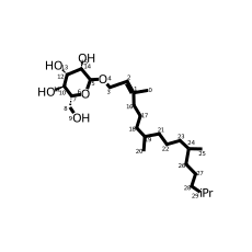 CC(=CCOC1O[C@H](CO)[C@@H](O)[C@H](O)[C@@H]1O)CCCC(C)CCCC(C)CCCC(C)C